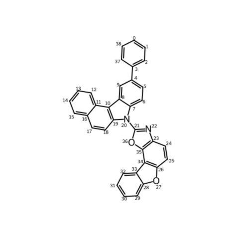 c1ccc(-c2ccc3c(c2)c2c4ccccc4ccc2n3-c2nc3ccc4oc5ccccc5c4c3o2)cc1